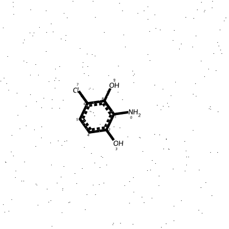 Nc1c(O)ccc(Cl)c1O